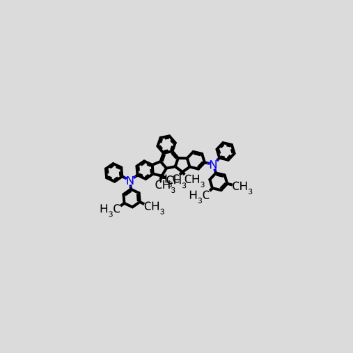 CC1=CC(C)CC(N(C2=CC3C(C=C2)C2=c4ccccc4=C4c5ccc(N(C6=CC(C)CC(C)=C6)c6ccccc6)cc5C(C)(C)C4C2C3(C)C)c2ccccc2)=C1